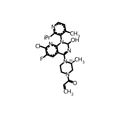 C=CC(=O)N1CCN(C2=NC(O)N(c3c(C)ccnc3C(C)C)c3nc(Cl)c(F)cc32)[C@@H](C)C1